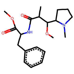 COC(=O)C(Cc1ccccc1)NC(=O)C(C)C(OC)C1CCCN1C